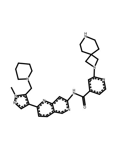 Cn1ncc(-c2ccc3cnc(NC(=O)c4ccnc(N5CC6(CCNCC6)C5)c4)cc3n2)c1CN1CCCCC1